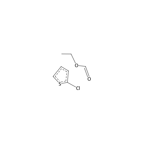 CCOC=O.Clc1cccs1